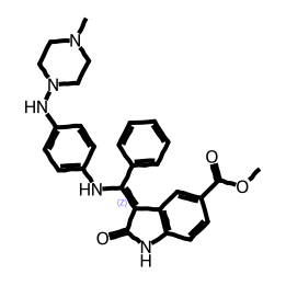 COC(=O)c1ccc2c(c1)/C(=C(/Nc1ccc(NN3CCN(C)CC3)cc1)c1ccccc1)C(=O)N2